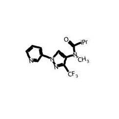 CC(C)C(=O)N(C)c1cn(-c2cccnc2)nc1C(F)(F)F